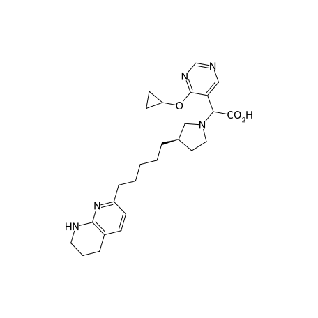 O=C(O)C(c1cncnc1OC1CC1)N1CC[C@@H](CCCCCc2ccc3c(n2)NCCC3)C1